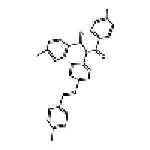 Cc1ccc(C(=O)N(C(=O)c2ccc(C)cc2)c2ccc(C=Cc3ccc(I)cc3)cc2)cc1